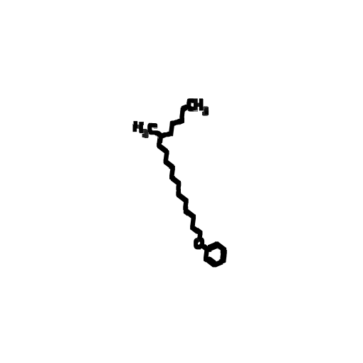 CCCCCC(C)CCCCCCCCCCCCOc1ccccc1